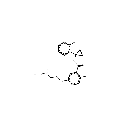 Cc1ccc(OCCN(C)C)cc1C(=O)NC1(c2ccccc2Br)CC1